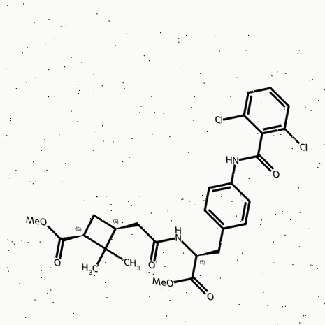 COC(=O)[C@H](Cc1ccc(NC(=O)c2c(Cl)cccc2Cl)cc1)NC(=O)C[C@@H]1C[C@H](C(=O)OC)C1(C)C